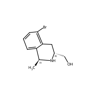 C[C@@H]1N[C@@H](CO)Cc2c(Br)cccc21